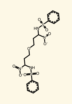 O=[N+]([O-])C(CCOCCC(NS(=O)(=O)c1ccccc1)[N+](=O)[O-])NS(=O)(=O)c1ccccc1